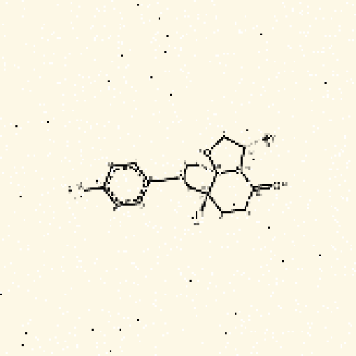 CC(C)[C@H]1CO[C@]23CCN(c4ccc(C(F)(F)F)cc4)C[C@H]2CCC(=O)N13